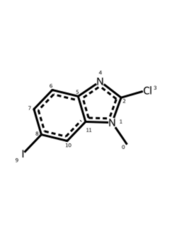 Cn1c(Cl)nc2ccc(I)cc21